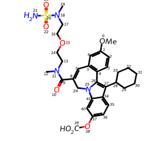 COc1ccc2c(c1)C=C(C(=O)N(C)CCOCCN(C)S(N)(=O)=O)Cn1c-2c(C2CCCCC2)c2ccc(OC(=O)O)cc21